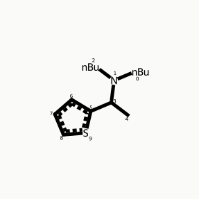 CCCCN(CCCC)C(C)c1cccs1